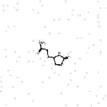 COC(=O)CCC1CCC(=O)N1